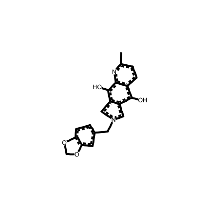 Cc1ccc2c(O)c3cn(Cc4ccc5c(c4)OCO5)cc3c(O)c2n1